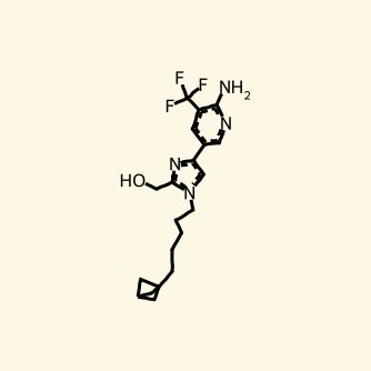 Nc1ncc(-c2cn(CCCCCC34CC(C3)C4)c(CO)n2)cc1C(F)(F)F